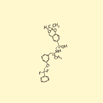 C[C@@H](Cc1cccc(OCC(F)(F)c2ccccc2)c1)NC[C@H](O)c1ccc2c(c1)COC(C)(C)O2